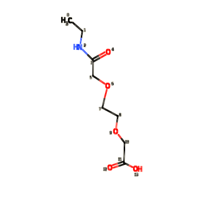 CCNC(=O)COCCOCC(=O)O